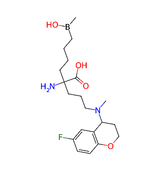 CB(O)CCCCC(N)(CCCN(C)C1CCOc2ccc(F)cc21)C(=O)O